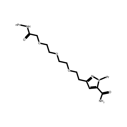 CCCNC(=O)COCCOCCOCCc1cc(C(N)=O)n(C(C)C)n1